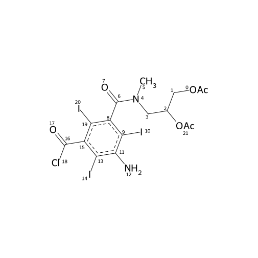 CC(=O)OCC(CN(C)C(=O)c1c(I)c(N)c(I)c(C(=O)Cl)c1I)OC(C)=O